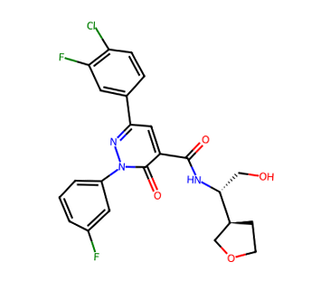 O=C(N[C@H](CO)[C@H]1CCOC1)c1cc(-c2ccc(Cl)c(F)c2)nn(-c2cccc(F)c2)c1=O